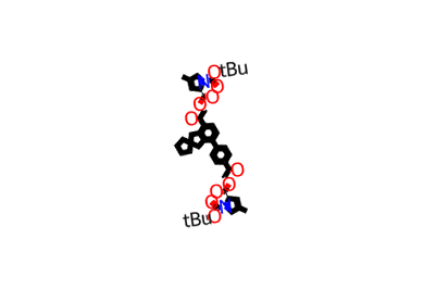 CC1=C[C@@H](C(=O)OCC(=O)c2ccc(-c3ccc(C(=O)COC(=O)[C@@H]4C=C(C)CN4C(=O)OC(C)(C)C)c4c3CC3(CCCC3)C4)cc2)N(C(=O)OC(C)(C)C)C1